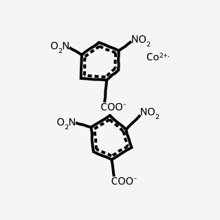 O=C([O-])c1cc([N+](=O)[O-])cc([N+](=O)[O-])c1.O=C([O-])c1cc([N+](=O)[O-])cc([N+](=O)[O-])c1.[Co+2]